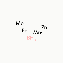 B.[Fe].[Mn].[Mo].[Zn]